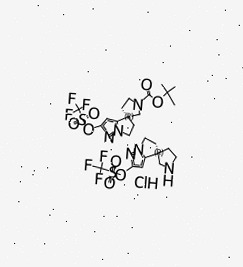 CC(C)(C)OC(=O)N1CC[C@@]2(CCn3nc(OS(=O)(=O)C(F)(F)F)cc32)C1.Cl.O=S(=O)(Oc1cc2n(n1)CC[C@@]21CCNC1)C(F)(F)F